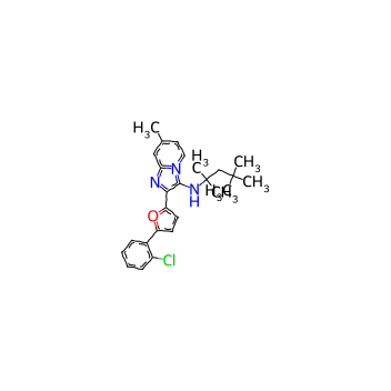 Cc1ccn2c(NC(C)(C)CC(C)(C)C)c(-c3ccc(-c4ccccc4Cl)o3)nc2c1